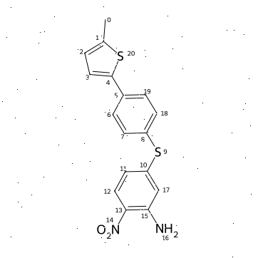 Cc1ccc(-c2ccc(Sc3ccc([N+](=O)[O-])c(N)c3)cc2)s1